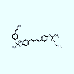 CCCOC(C)Oc1ccc(C=CC=Cc2ccc(OC(C)(C)Cc3ccc(C=CO)cc3)cc2)cc1